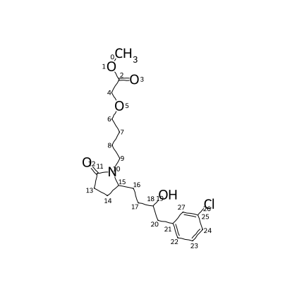 COC(=O)COCCCCN1C(=O)CCC1CCC(O)Cc1cccc(Cl)c1